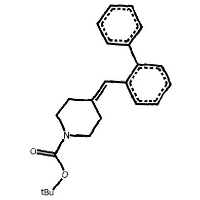 CC(C)(C)OC(=O)N1CCC(=Cc2ccccc2-c2ccccc2)CC1